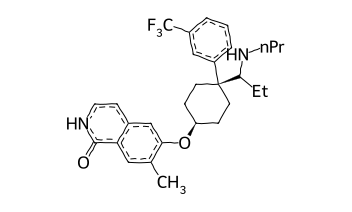 CCCNC(CC)[C@]1(c2cccc(C(F)(F)F)c2)CC[C@H](Oc2cc3cc[nH]c(=O)c3cc2C)CC1